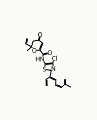 C=C/C(=C\C=C/C(=C)C)c1nc(Cl)c(NC(=O)C2=CC(=O)CC(C)(C=C)O2)s1